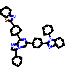 c1ccc(-c2cnc3c(-c4ccc(-c5nc6ccccc6s5)cc4)nc(-c4ccc(-c5nc6ccccc6n5-c5ccccc5)cc4)cn23)cc1